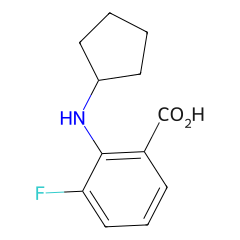 O=C(O)c1cccc(F)c1NC1CCCC1